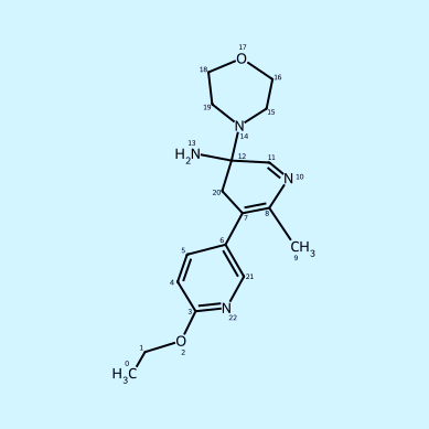 CCOc1ccc(C2=C(C)N=CC(N)(N3CCOCC3)C2)cn1